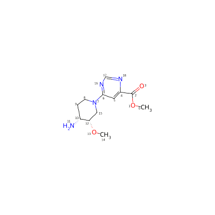 COC(=O)c1cc(N2CC[C@@H](N)[C@@H](OC)C2)ncn1